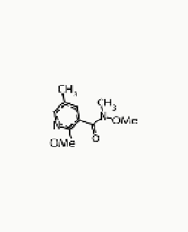 COc1ncc(C)cc1C(=O)N(C)OC